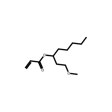 C=CC(=O)OC(CCCCC)CCOC